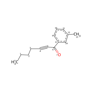 CCCCC#CC(=O)c1cccc(C)c1